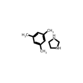 C1CNCN1.Cc1cc(C)cc(C)c1